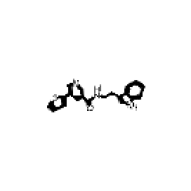 O=C(NCCc1c[nH]c2ccccc12)c1cncc(-c2cccs2)c1